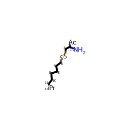 CC(=O)C(N)CSSCCCCCCC(C)C